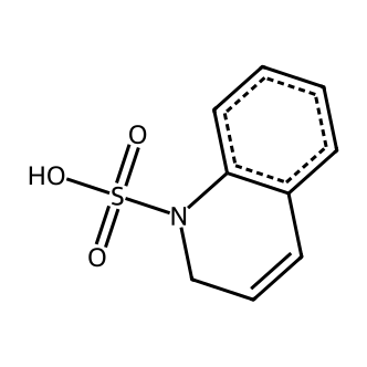 O=S(=O)(O)N1CC=Cc2ccccc21